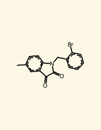 Cc1ccc2c(c1)C(=O)C(=O)N2Cc1ccccc1Br